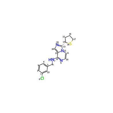 Clc1cccc(CNc2nccn3c([C@@H]4CCCS4)ncc23)c1